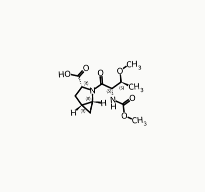 COC(=O)N[C@H](C(=O)N1[C@@H](C(=O)O)C[C@H]2C[C@H]21)[C@H](C)OC